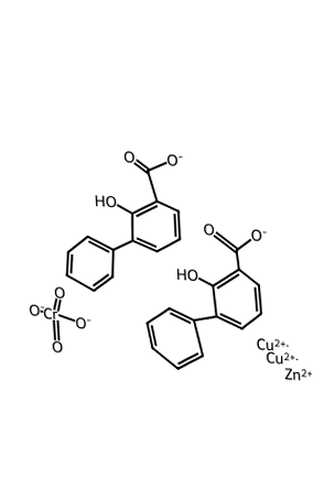 O=C([O-])c1cccc(-c2ccccc2)c1O.O=C([O-])c1cccc(-c2ccccc2)c1O.[Cu+2].[Cu+2].[O]=[Cr](=[O])([O-])[O-].[Zn+2]